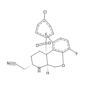 N#CC[C@@H]1CC[C@@]2(S(=O)(=O)c3ccc(Cl)cc3)c3c(F)ccc(F)c3OC[C@H]2N1